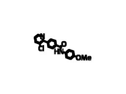 COc1ccc(NC(=O)c2ccc(-c3ncccc3Cl)cc2)cc1